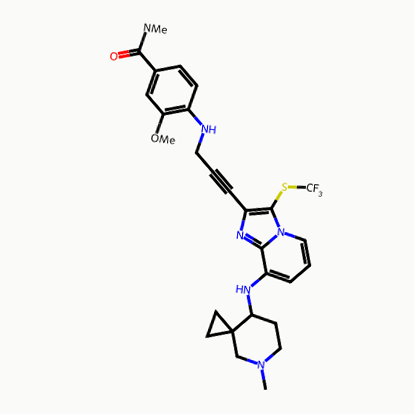 CNC(=O)c1ccc(NCC#Cc2nc3c(NC4CCN(C)CC45CC5)cccn3c2SC(F)(F)F)c(OC)c1